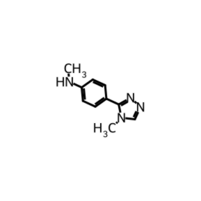 CNc1ccc(-c2nncn2C)cc1